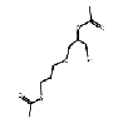 CC(=O)OC(CS)COCCCSC(C)=O